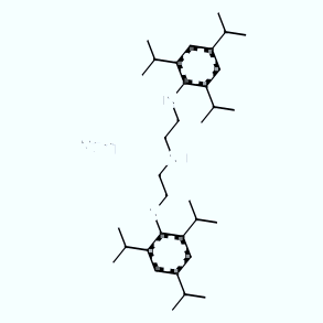 CC(C)c1cc(C(C)C)c(NCCNCCNc2c(C(C)C)cc(C(C)C)cc2C(C)C)c(C(C)C)c1.[Cl-].[Cl-].[Mn+2]